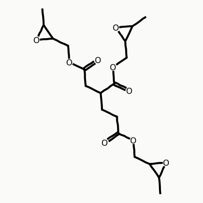 CC1OC1COC(=O)CCC(CC(=O)OCC1OC1C)C(=O)OCC1OC1C